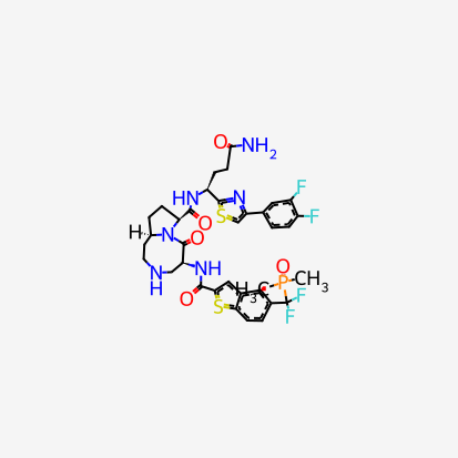 CP(C)(=O)C(F)(F)c1ccc2sc(C(=O)N[C@H]3CNCC[C@H]4CC[C@@H](C(=O)N[C@@H](CCC(N)=O)c5nc(-c6ccc(F)c(F)c6)cs5)N4C3=O)cc2c1